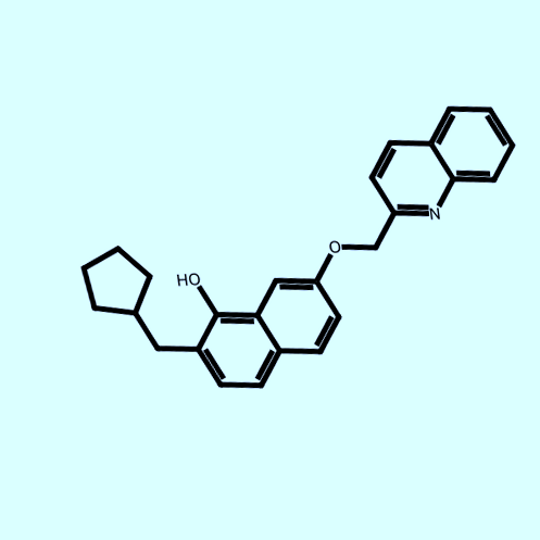 Oc1c(CC2CCCC2)ccc2ccc(OCc3ccc4ccccc4n3)cc12